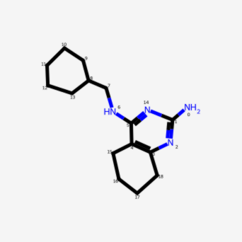 Nc1nc2c(c(NCC3CCCCC3)n1)CCCC2